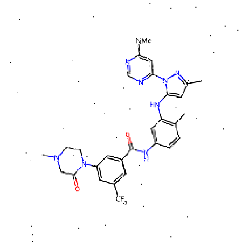 CNc1cc(-n2nc(C)cc2Nc2cc(NC(=O)c3cc(N4CCN(C)CC4=O)cc(C(F)(F)F)c3)ccc2C)ncn1